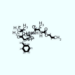 C=CCOC(=O)N[C@@H](C)C(=O)NNS(=O)(=O)N[C@H](Cc1ccccc1)C(=O)OC(C)(C)C